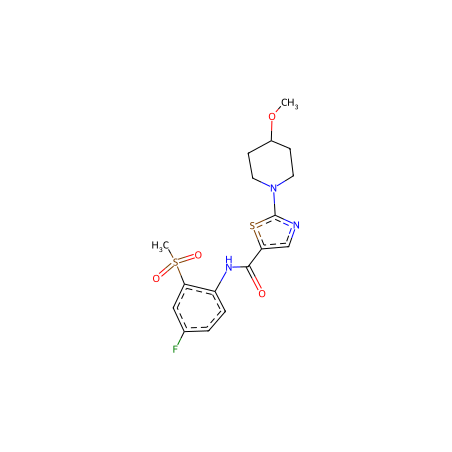 COC1CCN(c2ncc(C(=O)Nc3ccc(F)cc3S(C)(=O)=O)s2)CC1